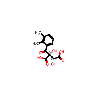 Cc1cccc(C(=O)[C@](O)(C(=O)O)[C@@H](O)C(=O)O)c1C